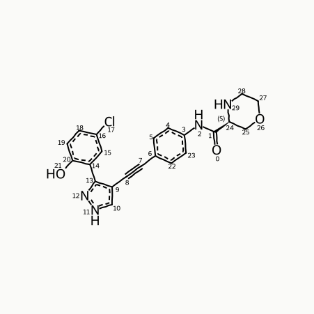 O=C(Nc1ccc(C#Cc2c[nH]nc2-c2cc(Cl)ccc2O)cc1)[C@@H]1COCCN1